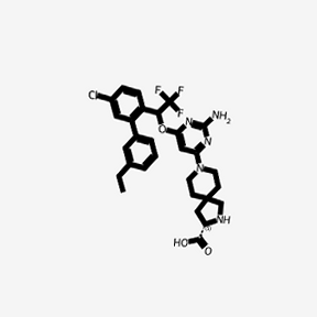 CCc1cccc(-c2cc(Cl)ccc2C(Oc2cc(N3CCC4(CC3)CN[C@H](C(=O)O)C4)nc(N)n2)C(F)(F)F)c1